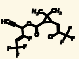 C#CC(OC(=O)C1C(/C=C(\Cl)C(F)(F)F)C1(C)C)/C(F)=C/C(F)(F)F